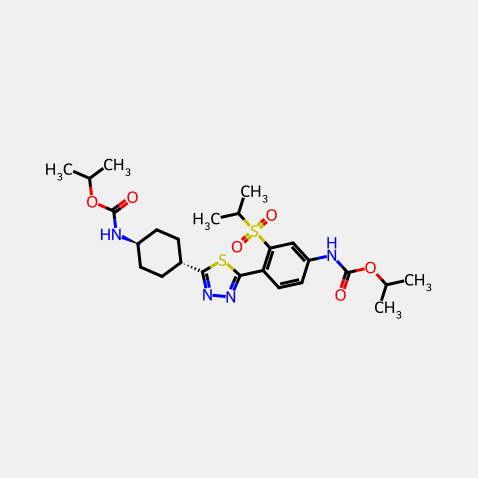 CC(C)OC(=O)Nc1ccc(-c2nnc([C@H]3CC[C@H](NC(=O)OC(C)C)CC3)s2)c(S(=O)(=O)C(C)C)c1